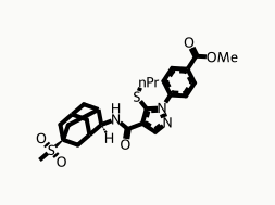 CCCSc1c(C(=O)N[C@H]2C3CC4CC2C[C@@](S(C)(=O)=O)(C4)C3)cnn1-c1ccc(C(=O)OC)cc1